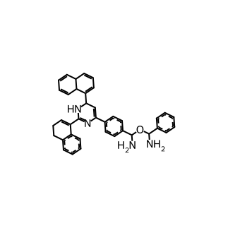 NC(OC(N)c1ccc(C2=CC(C3=CC=CC4C=CC=CC34)NC(C3=CCCc4ccccc43)=N2)cc1)c1ccccc1